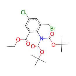 CCOC(=O)c1cc(Cl)cc(CBr)c1N(C(=O)OC(C)(C)C)C(=O)OC(C)(C)C